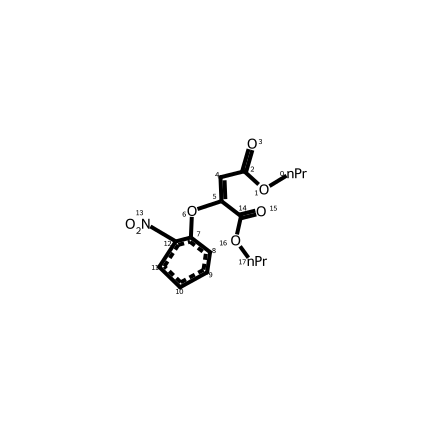 CCCOC(=O)C=C(Oc1ccccc1[N+](=O)[O-])C(=O)OCCC